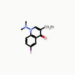 CCOC(=O)c1cn(N(C)C)c2ccc(I)cc2c1=O